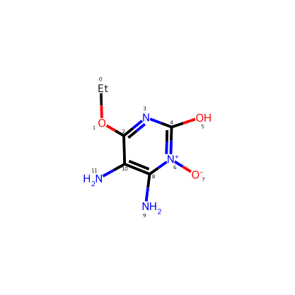 CCOc1nc(O)[n+]([O-])c(N)c1N